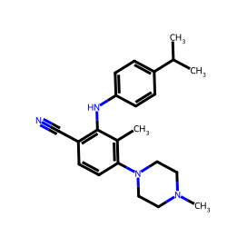 Cc1c(N2CCN(C)CC2)ccc(C#N)c1Nc1ccc(C(C)C)cc1